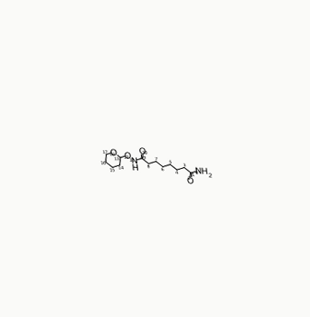 NC(=O)CCCCCCC(=O)NOC1CCCCO1